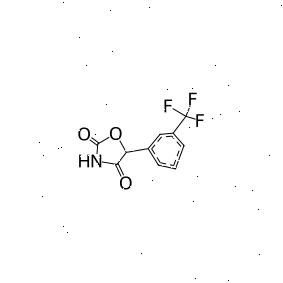 O=C1NC(=O)C(c2cccc(C(F)(F)F)c2)O1